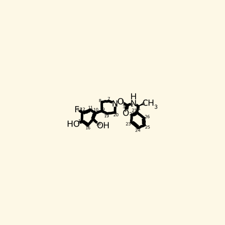 C[C@H](NC(=O)ON1CCC(c2cc(F)c(O)cc2O)CC1)c1ccccc1